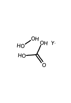 O=C(O)O.OO.[Y]